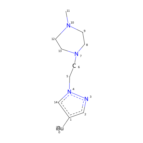 CCC(C)c1cnn(CCN2CCN(C)CC2)c1